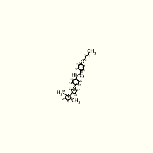 CCCCOc1ccc(C(=O)Nc2ccc(N3CCC(N4C(C)CCC4C)C3)cc2)cc1